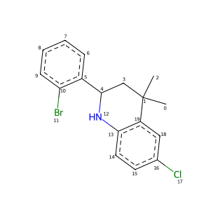 CC1(C)CC(c2ccccc2Br)Nc2ccc(Cl)cc21